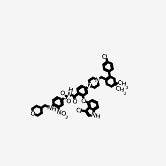 CC1(C)CCC(CN2CCN(c3ccc(C(=O)NS(=O)(=O)c4ccc(NCC5CCOCC5)c([N+](=O)[O-])c4)c(Oc4cccc5[nH]cc(Cl)c45)c3)CC2)=C(c2ccc(Cl)cc2)C1